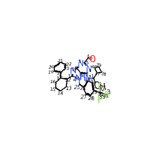 CC(Nc1nc(C=O)nc2nc(C3CCCCC3c3ccccc3)n(Cc3ccc(C(F)(F)F)cc3)c12)C1CCC1